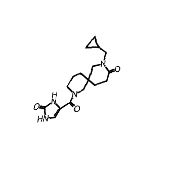 O=C1CCC2(CCCN(C(=O)c3c[nH]c(=O)[nH]3)C2)CN1CC1CC1